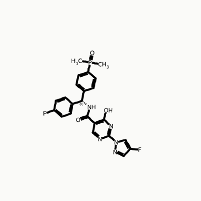 CP(C)(=O)c1ccc([C@H](NC(=O)c2cnc(-n3cc(F)cn3)nc2O)c2ccc(F)cc2)cc1